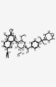 CC[C@H]1CN(C(C)c2ccc(C(C)(C)N3CCOCC3)cc2)[C@H](CC)CN1c1nc(=O)n(C)c2ccc(C#N)nc12